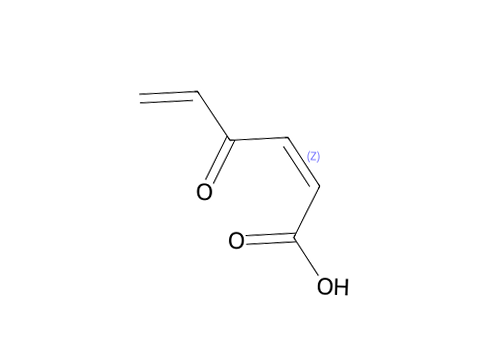 C=CC(=O)/C=C\C(=O)O